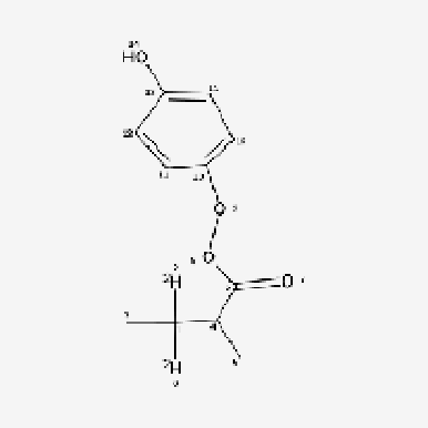 [2H]C([2H])(C)C(C)C(=O)OOc1ccc(O)cc1